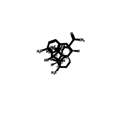 CC(=O)N1CC[C@]23c4c5ccc(C)c4O[C@H]2[C@@]2(C)CC[C@@]3(C[C@@H]2[C@](C)(O)C(C)(C)C)[C@H]1C5